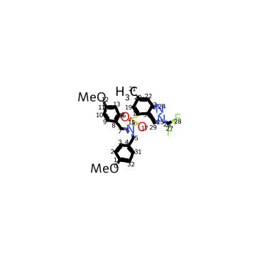 COc1ccc(CN(Cc2ccc(OC)cc2)S(=O)(=O)c2cc(C)cc3nn(C(F)F)cc23)cc1